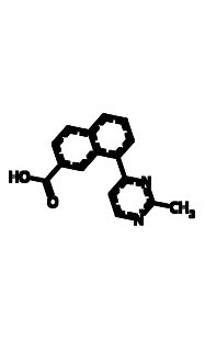 Cc1nccc(-c2cccc3ccc(C(=O)O)cc23)n1